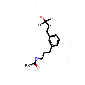 CCC(O)(CC)CCc1cccc(CCCNC(=O)C(F)(F)F)c1